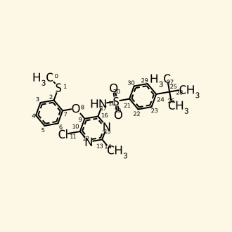 CSc1ccccc1Oc1c(Cl)nc(C)nc1NS(=O)(=O)c1ccc(C(C)(C)C)cc1